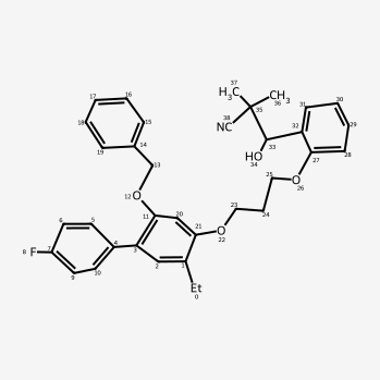 CCc1cc(-c2ccc(F)cc2)c(OCc2ccccc2)cc1OCCCOc1ccccc1C(O)C(C)(C)C#N